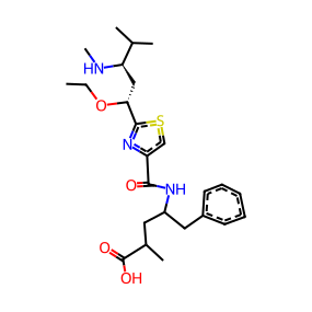 CCO[C@H](C[C@@H](NC)C(C)C)c1nc(C(=O)NC(Cc2ccccc2)CC(C)C(=O)O)cs1